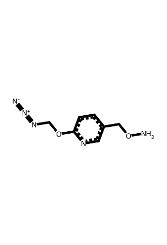 [N-]=[N+]=NCOc1ccc(CON)cn1